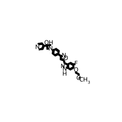 COCCOc1cc2[nH]nc(-c3cc(-c4ccc(N5CC(O)(c6ccncc6)C5)cc4)no3)c2cc1F